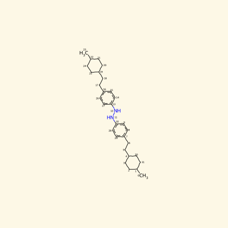 CC1CCC(CCc2ccc(NNc3ccc(CCC4CCC(C)CC4)cc3)cc2)CC1